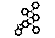 c1ccc(N2c3ccccc3B3c4cc5oc6ccccc6c5cc4N(c4ccccc4)c4cccc2c43)cc1